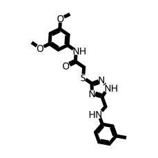 COc1cc(NC(=O)CSc2n[nH]c(CNc3cccc(C)c3)n2)cc(OC)c1